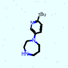 CC(C)(C)c1ccc(N2CCCNCC2)cn1